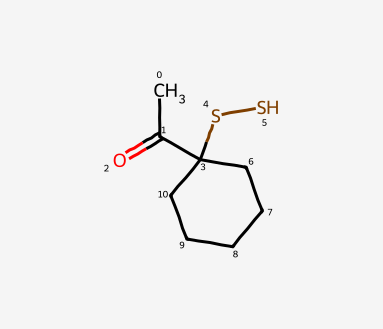 CC(=O)C1(SS)CCCCC1